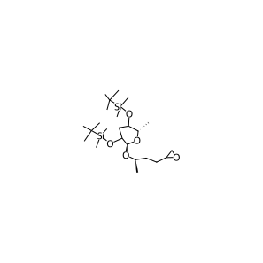 C[C@H](CCC1CO1)O[C@@H]1O[C@@H](C)C(O[Si](C)(C)C(C)(C)C)CC1O[Si](C)(C)C(C)(C)C